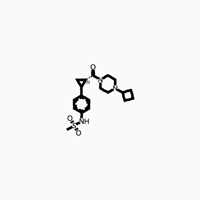 CS(=O)(=O)Nc1ccc(C2C[C@@H]2C(=O)N2CCN(C3CCC3)CC2)cc1